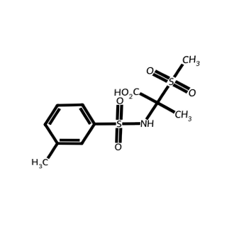 Cc1cccc(S(=O)(=O)NC(C)(C(=O)O)S(C)(=O)=O)c1